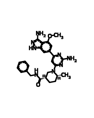 COc1cc(-c2cc(N3C[C@@H](C(=O)NCc4ccccc4)CC[C@H]3C)nc(N)n2)cc2[nH]nc(N)c12